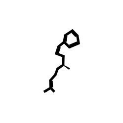 CC(C)=CCC[C@H](C)C/C=C\c1ccccc1